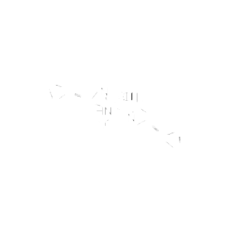 CC(c1ccc(C#Cc2ccccc2)cn1)C1(C(C)c2ccc(C#Cc3ccccc3)cn2)CCC(=O)N1